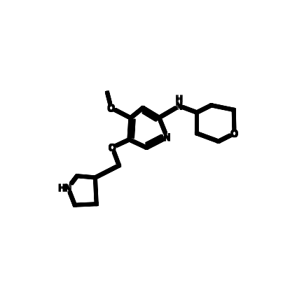 COc1cc(NC2CCOCC2)ncc1OCC1CCNC1